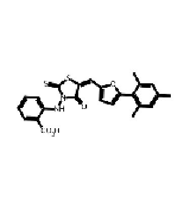 Cc1cc(C)c(-c2ccc(/C=C3/SC(=S)N(Nc4ccccc4C(=O)O)C3=O)o2)c(C)c1